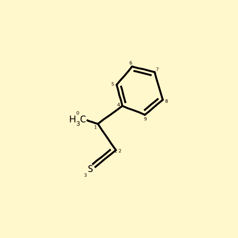 CC([C]=S)c1ccccc1